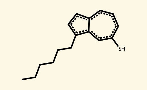 CCCCCCc1ccc2cccc(S)cc1-2